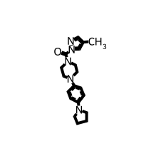 Cc1cnn(C(=O)N2CCN(c3ccc(N4CCCC4)cc3)CC2)c1